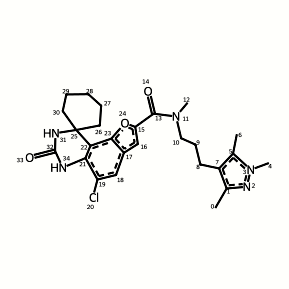 Cc1nn(C)c(C)c1CCCN(C)C(=O)c1cc2cc(Cl)c3c(c2o1)C1(CCCCC1)NC(=O)N3